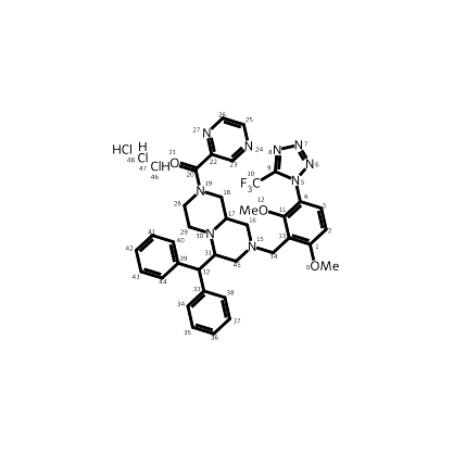 COc1ccc(-n2nnnc2C(F)(F)F)c(OC)c1CN1CC2CN(C(=O)c3cnccn3)CCN2C(C(c2ccccc2)c2ccccc2)C1.Cl.Cl.Cl